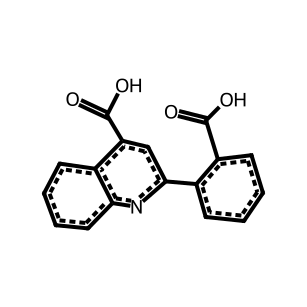 O=C(O)c1ccccc1-c1cc(C(=O)O)c2ccccc2n1